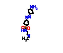 CN=CCNS(=O)(=O)c1ccc(/N=N/c2ccc(N)cc2)cc1